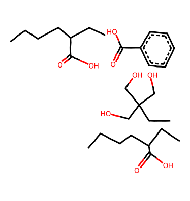 CCC(CO)(CO)CO.CCCCC(CC)C(=O)O.CCCCC(CC)C(=O)O.O=C(O)c1ccccc1